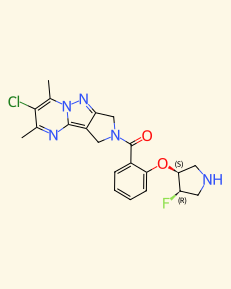 Cc1nc2c3c(nn2c(C)c1Cl)CN(C(=O)c1ccccc1O[C@H]1CNC[C@H]1F)C3